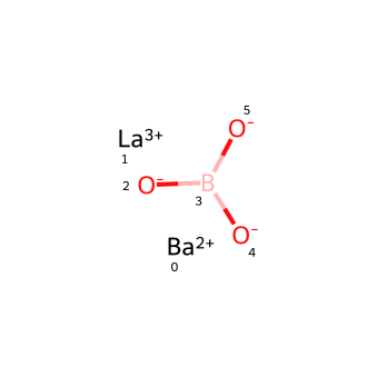 [Ba+2].[La+3].[O-]B([O-])[O-]